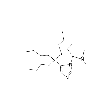 CCC[CH2][Sn]([CH2]CCC)([CH2]CCC)[c]1cncn1C(CC)N(C)C